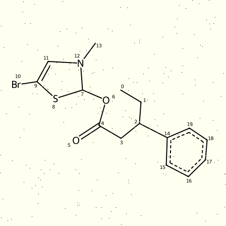 CCC(CC(=O)OC1SC(Br)=CN1C)c1ccccc1